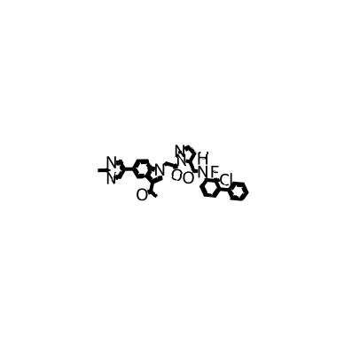 CC(=O)c1cn(CC(=O)N2N=CCC2C(=O)NC2C=CC=C(c3ccccc3)C2(F)Cl)c2ccc(-c3cnc(C)nc3)cc12